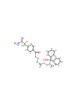 CCC(CCN(C)CCCC(=O)c1ccc(C(C)(C)C(N)=O)cc1)C(O)(c1ccccc1)c1ccccc1